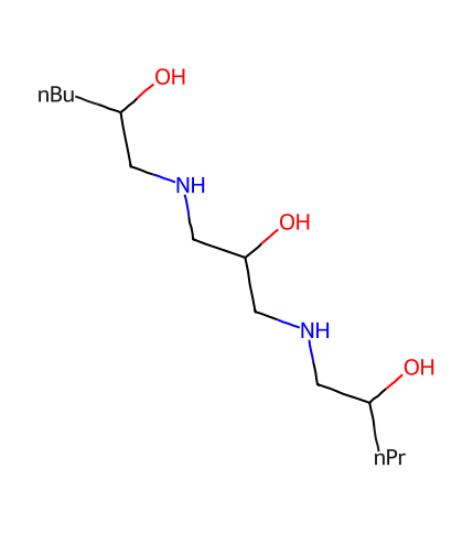 CCCCC(O)CNCC(O)CNCC(O)CCC